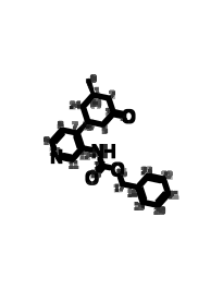 C[C@H]1CC(=O)C[C@@H](c2ccncc2NC(=O)OCc2ccccc2)C1